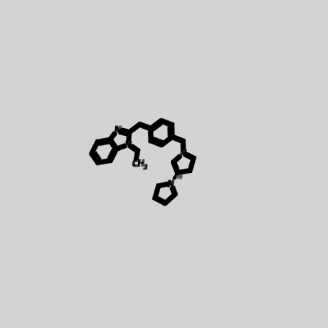 CCn1c(Cc2ccc(CN3CC[C@H](N4CCCC4)C3)cc2)nc2ccccc21